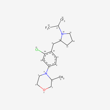 CC1COCCN1c1ccc(CC2CCCN2C(C(F)(F)F)C(F)(F)F)c(Cl)c1